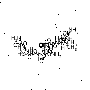 CCC(C)C(NC(=O)CNC(=O)CNC(=O)C(Cc1ccccc1)NC(=O)C(CCN)NC(=O)C(CCC=O)NC(=O)CNC(=O)CNC(=O)C(CO)NC(=O)CNC(=O)C(CCN)NC=O)C(=O)NC(CCCN)C(=O)O